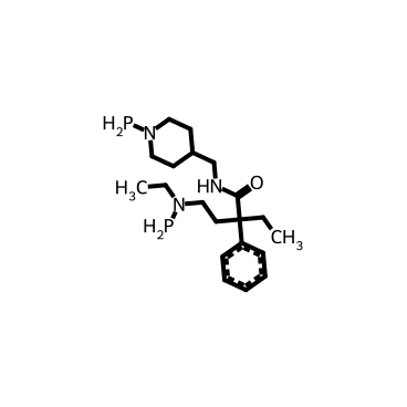 CCN(P)CCC(CC)(C(=O)NCC1CCN(P)CC1)c1ccccc1